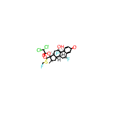 C[C@@H]1C[C@H]2[C@@H]3C[C@H](F)C4=CC(=O)C=C[C@]4(C)[C@@]3(F)[C@@H](O)C[C@]2(C)[C@@]1(OC(=O)C(Cl)Cl)C(=O)SCF